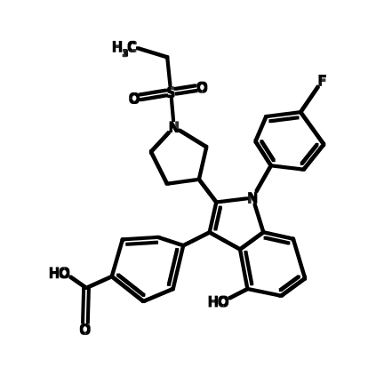 CCS(=O)(=O)N1CCC(c2c(-c3ccc(C(=O)O)cc3)c3c(O)cccc3n2-c2ccc(F)cc2)C1